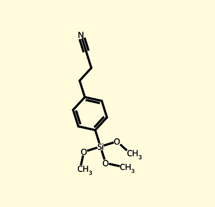 CO[Si](OC)(OC)c1ccc(CCC#N)cc1